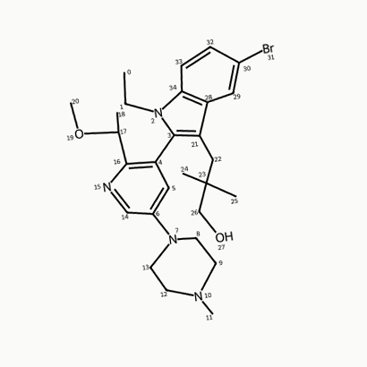 CCn1c(-c2cc(N3CCN(C)CC3)cnc2C(C)OC)c(CC(C)(C)CO)c2cc(Br)ccc21